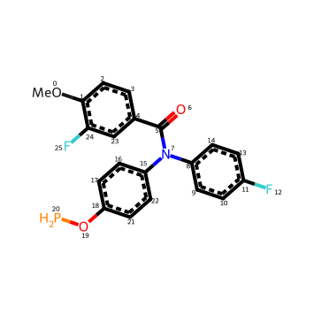 COc1ccc(C(=O)N(c2ccc(F)cc2)c2ccc(OP)cc2)cc1F